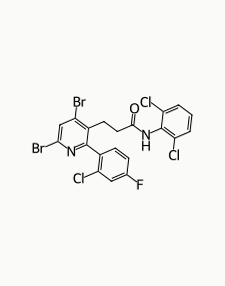 O=C(CCc1c(Br)cc(Br)nc1-c1ccc(F)cc1Cl)Nc1c(Cl)cccc1Cl